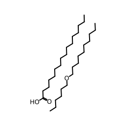 CCCCCCCCCCCCCCCC(=O)O.CCCCCCCCCCOCCCCCC